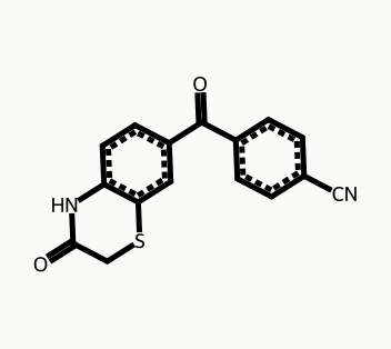 N#Cc1ccc(C(=O)c2ccc3c(c2)SCC(=O)N3)cc1